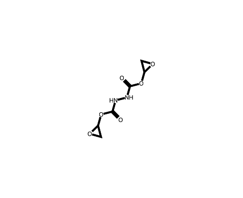 O=C(NNC(=O)OC1CO1)OC1CO1